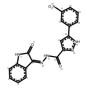 O=C1Nc2ccccc2/C1=N/NC(=O)c1cc(-c2cccc([N+](=O)[O-])c2)[nH]n1